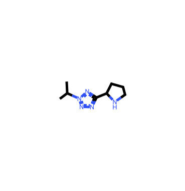 CC(C)n1nnc(C2CCCN2)n1